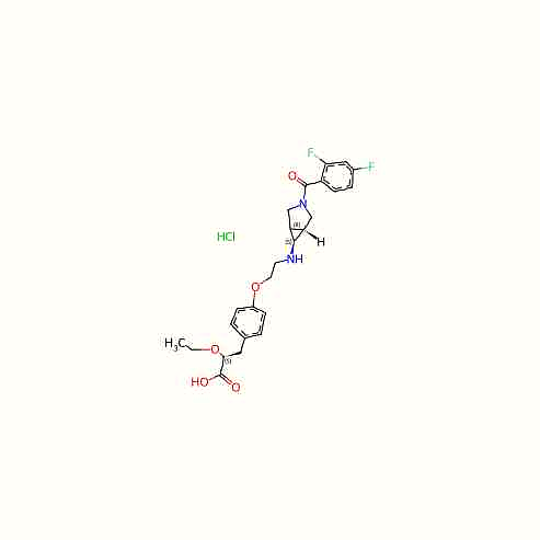 CCO[C@@H](Cc1ccc(OCCN[C@H]2C3CN(C(=O)c4ccc(F)cc4F)C[C@@H]32)cc1)C(=O)O.Cl